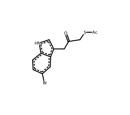 CC(=O)SCC(=O)Cc1c[nH]c2ccc(Br)cc12